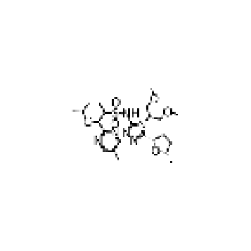 COCC(COC)n1c(NS(=O)(=O)C(C)C(OC(C)C)c2ncc(C)cn2)nnc1[C@@H]1CC[C@H](C)O1